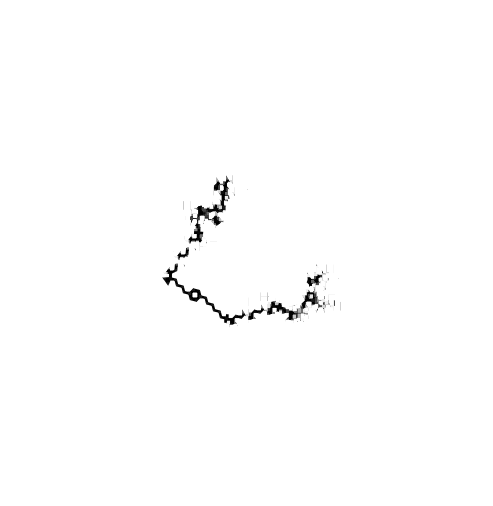 CC(C)(CCCCCCc1ccc(CCCCC2(C(=O)CCNC(=O)CCNC(=O)C(O)C(C)(C)COP(=O)(O)OP(=O)(O)OCC3OC(n4cnc5c(N)ncnc54)C(O)C3OP(=O)(O)O)CC2)cc1)C(=O)CCNC(=O)CCNC(=O)C(O)C(C)(C)COP(=O)(O)OP(=O)(O)OCC1OC(n2cnc3c(N)ncnc32)C(O)C1OP(=O)(O)O